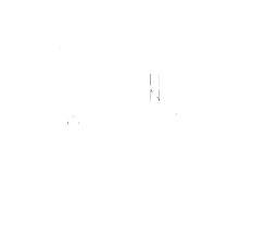 Cc1ccc(C(=O)CCNC(C)(C)CCc2ccccc2)s1